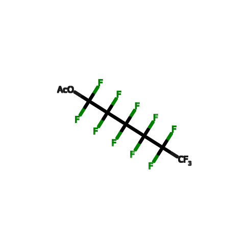 CC(=O)OC(F)(F)C(F)(F)C(F)(F)C(F)(F)C(F)(F)C(F)(F)F